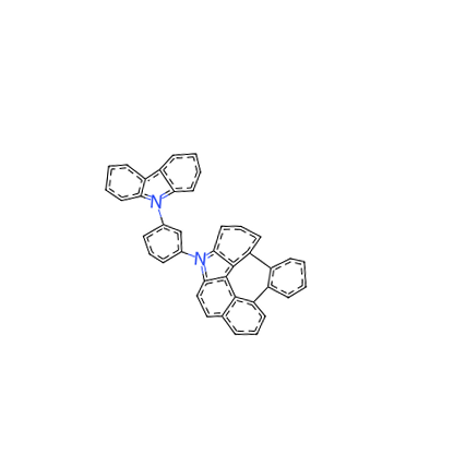 c1cc(-n2c3ccccc3c3ccccc32)cc(-n2c3cccc4c3c3c5c(cccc5ccc32)-c2ccccc2-4)c1